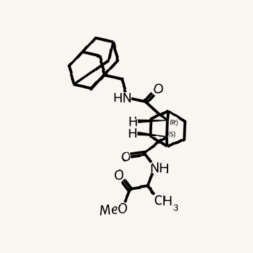 COC(=O)C(C)NC(=O)[C@H]1C2CCC(CC2)[C@H]1C(=O)NCC12CC3CC(CC(C3)C1)C2